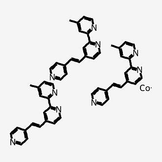 Cc1ccnc(-c2cc(C=Cc3ccncc3)ccn2)c1.Cc1ccnc(-c2cc(C=Cc3ccncc3)ccn2)c1.Cc1ccnc(-c2cc(C=Cc3ccncc3)ccn2)c1.[Co]